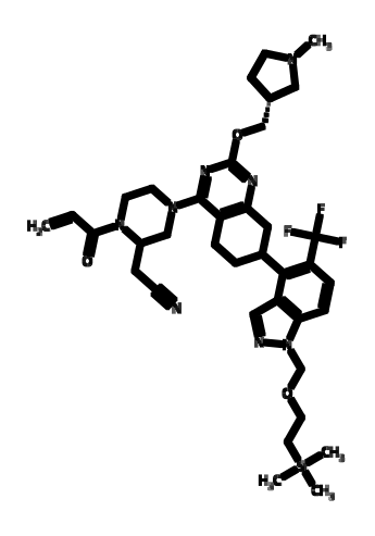 C=CC(=O)N1CCN(c2nc(OC[C@@H]3CCN(C)C3)nc3c2CCC(c2c(C(F)(F)F)ccc4c2cnn4COCC[Si](C)(C)C)C3)CC1CC#N